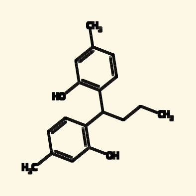 CCCC(c1ccc(C)cc1O)c1ccc(C)cc1O